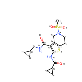 CS(=O)(=O)N1CCc2sc(NC(=O)C3CC3)c(C(=O)NCC3CC3)c2C1